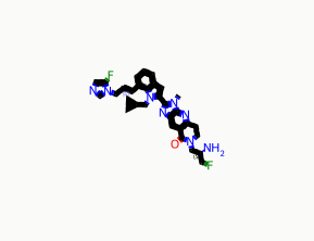 Cn1c(-c2cc3cccc(/C=C/Cn4cncc4F)c3n2CC2CC2)nc2cc3c(nc21)CCN(C[C@H](N)CF)C3=O